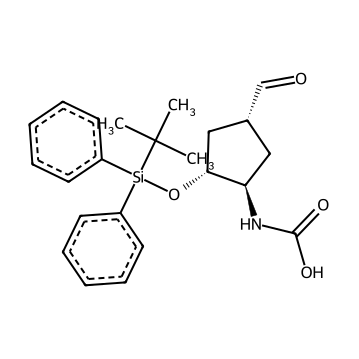 CC(C)(C)[Si](O[C@@H]1C[C@H](C=O)C[C@H]1NC(=O)O)(c1ccccc1)c1ccccc1